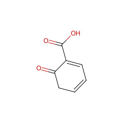 O=C(O)C1=CC=CCC1=O